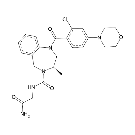 C[C@@H]1CN(C(=O)c2ccc(N3CCOCC3)cc2Cl)c2ccccc2CN1C(=O)NCC(N)=O